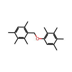 Cc1cc(OCc2c(C)cc(C)c(C)c2C)c(C)c(C)c1C